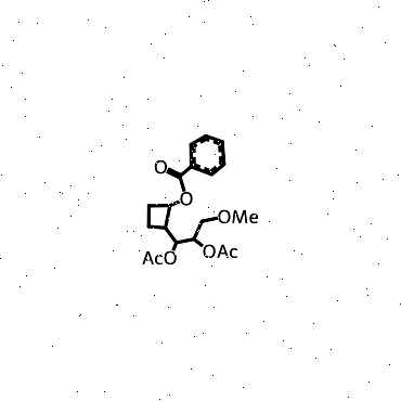 COCC(OC(C)=O)C(OC(C)=O)C1CCC1OC(=O)c1ccccc1